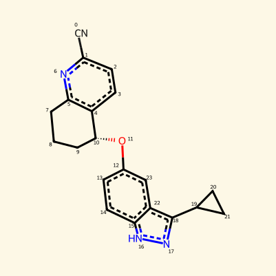 N#Cc1ccc2c(n1)CCC[C@H]2Oc1ccc2[nH]nc(C3CC3)c2c1